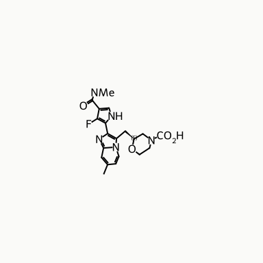 CNC(=O)c1c[nH]c(-c2nc3cc(C)ccn3c2C[C@H]2CN(C(=O)O)CCO2)c1F